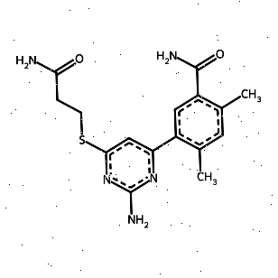 Cc1cc(C)c(-c2cc(SCCC(N)=O)nc(N)n2)cc1C(N)=O